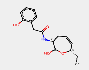 CC(=O)C[C@H]1C=CC[C@H](NC(=O)Cc2ccccc2O)B(O)O1